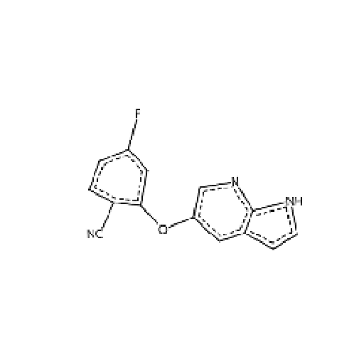 N#Cc1ccc(F)cc1Oc1cnc2[nH]ccc2c1